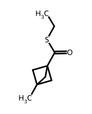 CCSC(=O)C12CC(C)(C1)C2